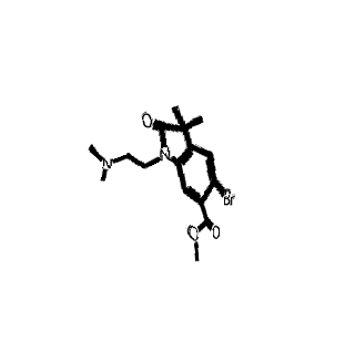 COC(=O)c1cc2c(cc1Br)C(C)(C)C(=O)N2CCN(C)C